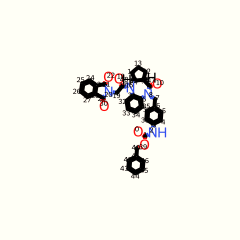 O=C(Nc1ccc(CN2C(=O)[C@H]3CCC[C@H]3N(C(=O)CN3C(=O)c4ccccc4C3=O)c3ccccc32)cc1)OCc1ccccc1